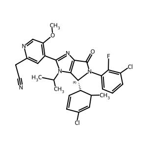 COc1cnc(CC#N)cc1-c1nc2c(n1C(C)C)[C@@H](C1C=CC(Cl)=CC1C)N(c1cccc(Cl)c1F)C2=O